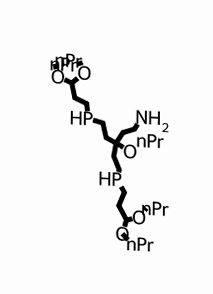 CCCOC(CCPCCC(CCN)(CCPCCC(OCCC)OCCC)OCCC)OCCC